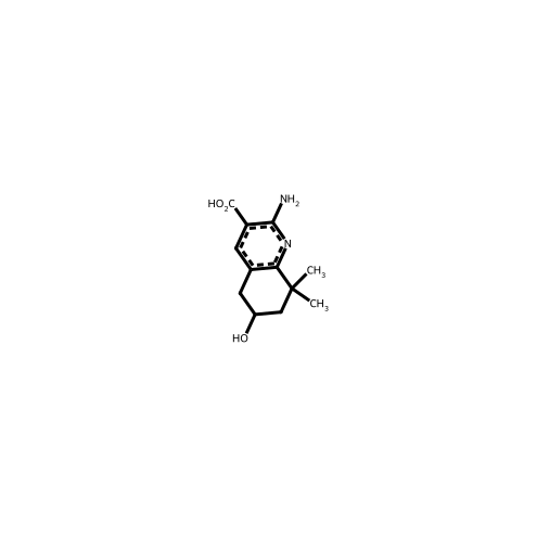 CC1(C)CC(O)Cc2cc(C(=O)O)c(N)nc21